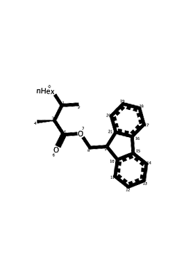 CCCCCCC(C)[C@H](C)C(=O)OCC1c2ccccc2-c2ccccc21